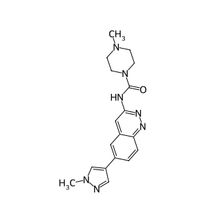 CN1CCN(C(=O)Nc2cc3cc(-c4cnn(C)c4)ccc3nn2)CC1